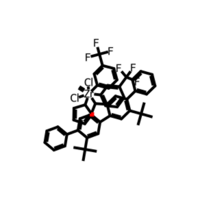 [CH2]=[Zr]([Cl])([Cl])([c]1cccc(C(F)(F)F)c1)([c]1cccc(C(F)(F)F)c1)([CH]1C=CC=C1)[CH]1c2cc(-c3ccccc3)c(C(C)(C)C)cc2-c2cc(C(C)(C)C)c(-c3ccccc3)cc21